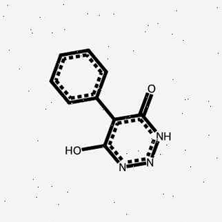 O=c1[nH]nnc(O)c1-c1ccccc1